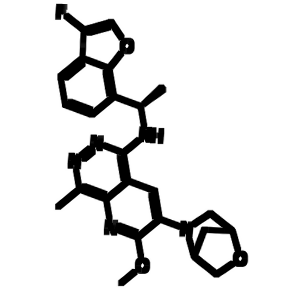 COc1nc2c(C)nnc(N[C@H](C)c3cccc4c(F)coc34)c2cc1N1CC2CC1CO2